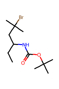 CCC(CC(C)(C)Br)NC(=O)OC(C)(C)C